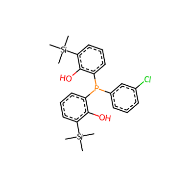 C[Si](C)(C)c1cccc(P(c2cccc(Cl)c2)c2cccc([Si](C)(C)C)c2O)c1O